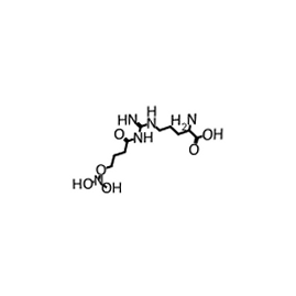 N=C(NCCCC(N)C(=O)O)NC(=O)CCCON(O)O